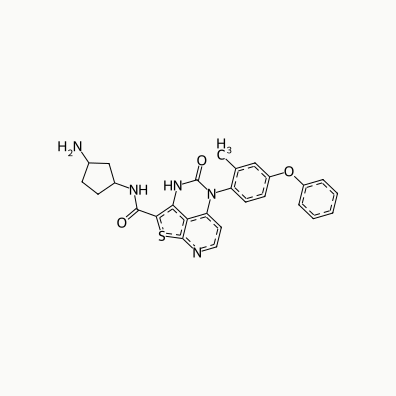 Cc1cc(Oc2ccccc2)ccc1N1C(=O)Nc2c(C(=O)NC3CCC(N)C3)sc3nccc1c23